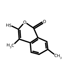 Cc1ccc2c(C)c(S)oc(=O)c2c1